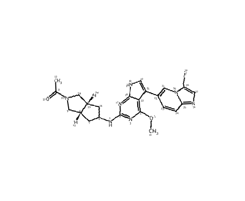 COc1nc(NC2C[C@@H]3CN(C(C)=O)C[C@@H]3C2)nc2[nH]cc(-c3ccc4ncc(F)n4c3)c12